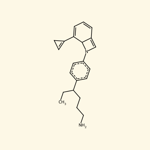 CCC(CCCN)c1ccc(N2C=C3C=CC=C(C4=CC4)C32)cc1